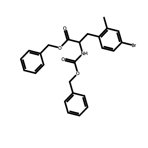 Cc1cc(Br)ccc1CC(NC(=O)OCc1ccccc1)C(=O)OCc1ccccc1